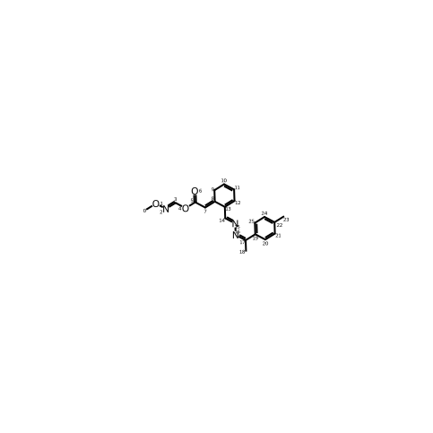 CON=COC(=O)C=C1CC=CC=C1C=NN=C(C)c1ccc(C)cc1